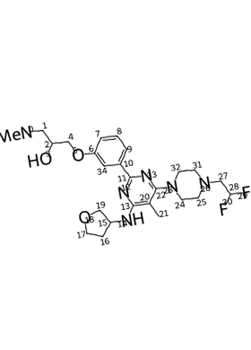 CNCC(O)COc1cccc(-c2nc(NC3CCOC3)c(C)c(N3CCN(CC(F)F)CC3)n2)c1